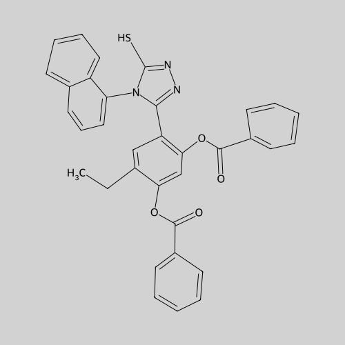 CCc1cc(-c2nnc(S)n2-c2cccc3ccccc23)c(OC(=O)c2ccccc2)cc1OC(=O)c1ccccc1